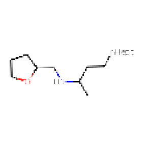 CCCCCCCCCC(C)NCC1CCCO1